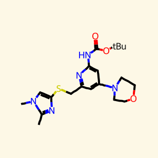 Cc1nc(SCc2cc(N3CCOCC3)cc(NC(=O)OC(C)(C)C)n2)cn1C